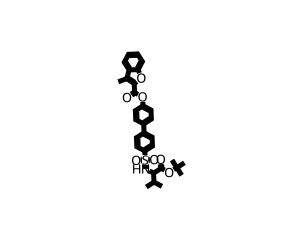 Cc1c(C(=O)Oc2ccc(-c3ccc(S(=O)(=O)NC(C(=O)OC(C)(C)C)C(C)C)cc3)cc2)oc2ccccc12